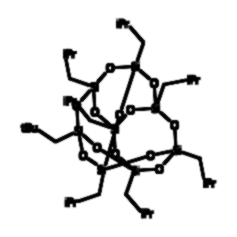 CC(C)C[Si]12O[Si]3(CC(C)C)O[Si]4(CC(C)C)O[Si](CC(C)C)(O1)O[Si]1(CC(C)C)O[Si](CC(C)C)(O2)O[Si](CC(C)C)(O3)O[Si](CC(C)(C)C)(O4)O1